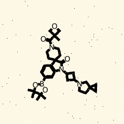 CC1(C(=O)N2CCC3(CC2)C(=O)N(C2CC(N4CCC5(CC5)C4)C2)c2cc(B4OC(C)(C)C(C)(C)O4)ccc23)COC1